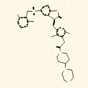 Cc1[nH]c(/C=C2\C(=O)Nc3ccc(S(=O)(=O)Cc4c(Cl)cccc4Cl)cc32)c(C)c1CC(=O)N1CCC(N2CCOCC2)CC1